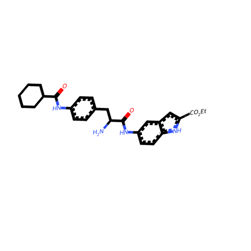 CCOC(=O)c1cc2cc(NC(=O)C(N)Cc3ccc(NC(=O)C4CCCCC4)cc3)ccc2[nH]1